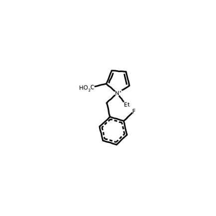 CC[N+]1(Cc2ccccc2F)C=CC=C1C(=O)O